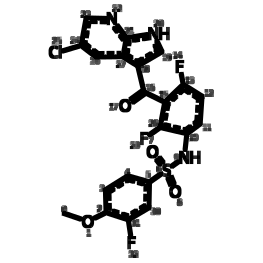 COc1ccc(S(=O)(=O)Nc2ccc(F)c(C(=O)c3c[nH]c4ncc(Cl)cc34)c2F)cc1F